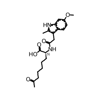 COc1ccc2c(CC(=O)N[C@@H](CCCCCC(C)=O)C(=O)O)c(C)[nH]c2c1